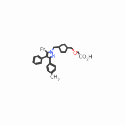 CCc1c(-c2ccccc2)c(-c2ccc(C)cc2)nn1CC1CCC(COCC(=O)O)CC1